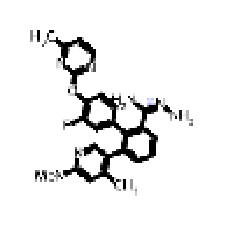 CNc1cc(C)c(-c2cccc(/C(N)=N\N)c2-c2ccc(Oc3nccc(C)n3)c(F)c2)cn1